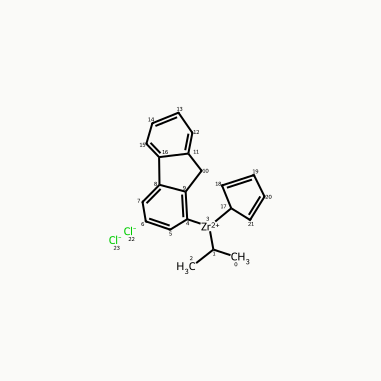 C[CH](C)[Zr+2]([c]1cccc2c1Cc1ccccc1-2)[CH]1C=CC=C1.[Cl-].[Cl-]